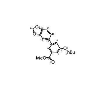 CCCCOc1cc(C(=O)OC)cc(-c2ccc3c(c2)OCO3)c1